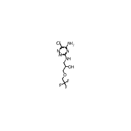 Nc1nc(NCC(O)COCC(F)(F)F)nnc1Cl